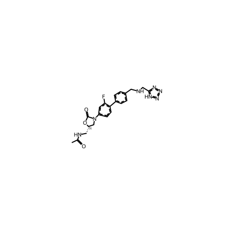 CC(=O)NC[C@H]1CN(c2ccc(-c3ccc(CNCc4nnn[nH]4)cc3)c(F)c2)C(=O)O1